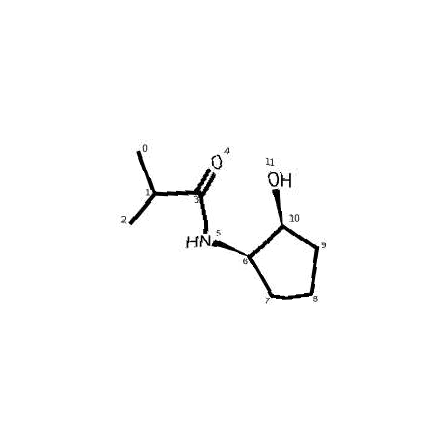 CC(C)C(=O)N[C@@H]1CCC[C@@H]1O